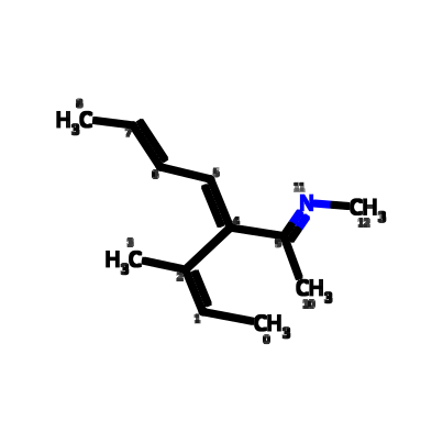 C\C=C(C)/C(=C\C=C\C)C(/C)=N/C